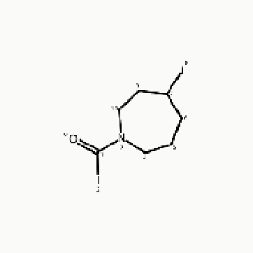 O=C(I)N1CCCC(I)CC1